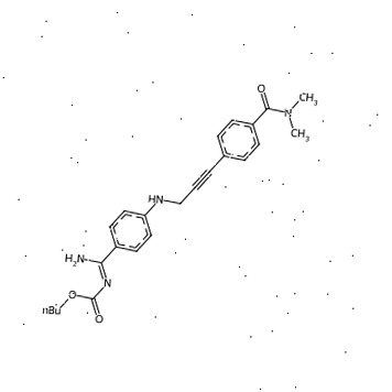 CCCCOC(=O)N=C(N)c1ccc(NCC#Cc2ccc(C(=O)N(C)C)cc2)cc1